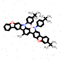 Cc1cc2c3c4c1c1cc5c(cc1n4-c1ccc(C(C)(C)C)cc1B3N(c1ccc(C(C)(C)C)cc1)c1cc3c(cc1-2)oc1cc(C(C)(C)C)ccc13)oc1ccccc15